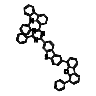 C1=c2c(n(-c3ccccc3)c3ccccc23)=C(c2nc(-c3ccccc3)nc(-c3ccc4c(c3)sc3ccc(-c5cccc6c5oc5c(-c7ccccc7)cccc56)cc34)n2)CC1